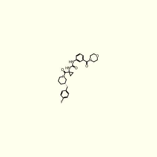 O=C(Nc1cccc(C(=O)N2CCOCC2)c1)NC1(C(=O)N2CCC[C@@H](Cc3ccc(F)cc3)C2)CC1